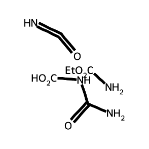 CCOC(N)=O.N=C=O.NC(=O)NC(=O)O